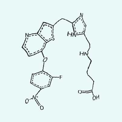 O=C(O)CCCNCc1cnc(Cc2cc3nccc(Oc4ccc([N+](=O)[O-])cc4F)c3s2)[nH]1